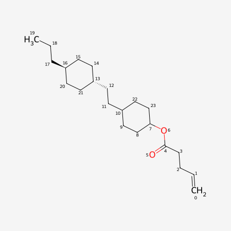 C=CCCC(=O)OC1CCC(CC[C@H]2CC[C@H](CCC)CC2)CC1